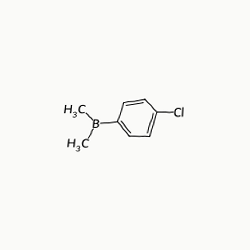 CB(C)c1ccc(Cl)cc1